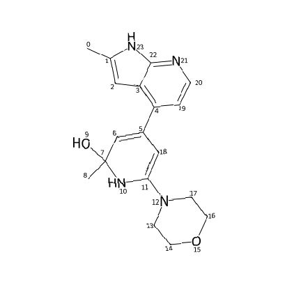 Cc1cc2c(C3=CC(C)(O)NC(N4CCOCC4)=C3)ccnc2[nH]1